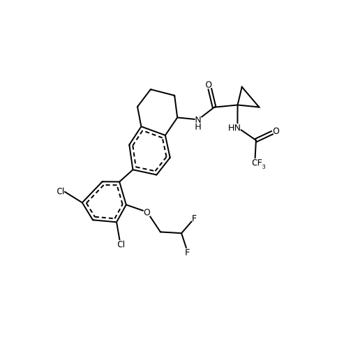 O=C(NC1(C(=O)NC2CCCc3cc(-c4cc(Cl)cc(Cl)c4OCC(F)F)ccc32)CC1)C(F)(F)F